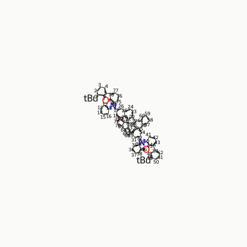 CC(C)(C)c1cccc2c1oc1c(N(c3ccccc3)c3ccc4c5c(ccc4c3)-c3c(c4ccc(N(c6ccccc6)c6cccc7c6oc6c(C(C)(C)C)cccc67)cc4c4ccccc34)C53c4ccccc4-c4ccccc43)cccc12